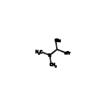 CCCC(N(C)C)C(C)(C)C